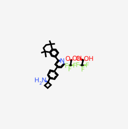 CC1(C)CCC(C)(C)c2cc(-c3cc(-c4ccc(C5(N)CCC5)cc4)ccn3)ccc21.O=C(O)C(F)(F)F.O=C(O)C(F)(F)F